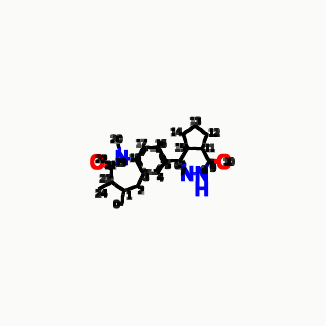 CC1Cc2cc(C3=NNC(=O)C4CCCC34)ccc2N(C)C(=O)C1C